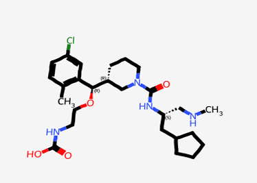 CNC[C@H](CC1CCCC1)NC(=O)N1CCC[C@@H]([C@@H](OCCNC(=O)O)c2cc(Cl)ccc2C)C1